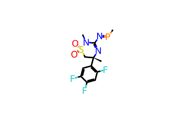 CP=NC1=N[C@](C)(c2cc(F)c(F)cc2F)CS(=O)(=O)N1C